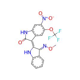 CO/N=C1/C(=C2/C(=O)Nc3cc([N+](=O)[O-])c(OC(F)(F)F)cc32)Nc2ccccc21